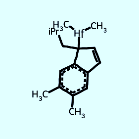 Cc1cc2c(cc1C)[C](CC(C)C)([Hf]([CH3])[CH3])C=C2